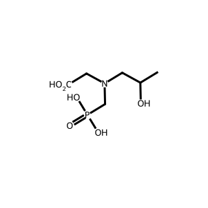 CC(O)CN(CC(=O)O)CP(=O)(O)O